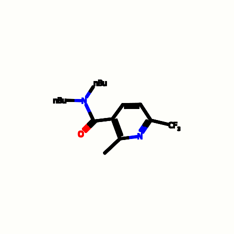 CCCCN(CCCC)C(=O)c1ccc(C(F)(F)F)nc1C